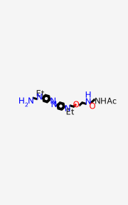 CCN(CCN)c1ccc(/N=N/c2ccc(N(CC)CCOCCCNC(=O)CNC(C)=O)cc2)cc1